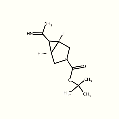 CC(C)(C)OC(=O)N1C[C@@H]2C(C(=N)N)[C@@H]2C1